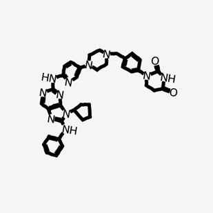 O=C1CCN(c2ccc(CN3CCN(c4ccc(Nc5ncc6nc(Nc7ccccc7)n(C7CCCC7)c6n5)nc4)CC3)cc2)C(=O)N1